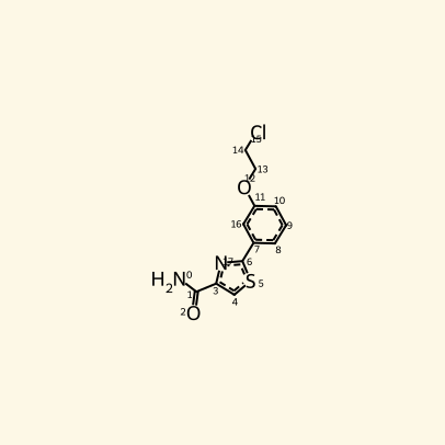 NC(=O)c1csc(-c2cccc(OCCCl)c2)n1